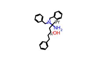 CC(C)C(N)(C[C@H](O)CCc1ccccc1)N(Cc1ccccc1)Cc1ccccc1